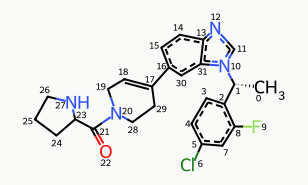 C[C@H](c1ccc(Cl)cc1F)n1cnc2ccc(C3=CCN(C(=O)C4CCCN4)CC3)cc21